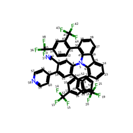 N#Cc1cc(-n2c3c(-c4ccc(C(F)(F)F)cc4C(F)(F)F)cccc3c3cccc(-c4ccc(C(F)(F)F)cc4C(F)(F)F)c32)c(-c2ccccc2)cc1-c1ccncc1